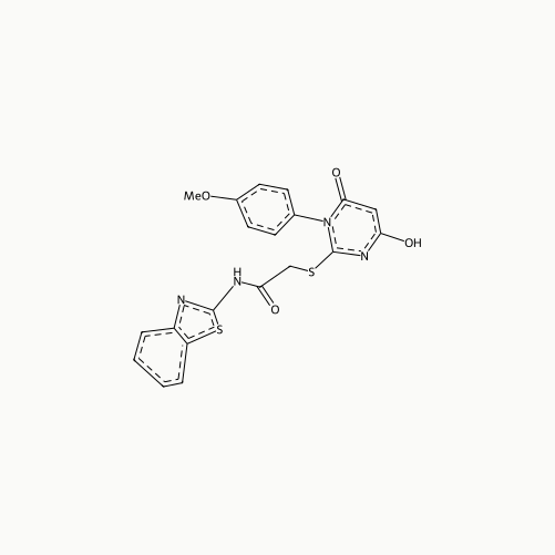 COc1ccc(-n2c(SCC(=O)Nc3nc4ccccc4s3)nc(O)cc2=O)cc1